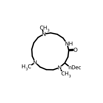 CCCCCCCCCCC1CC(=O)NCCCN(C)CCCCN(C)CCCN1C